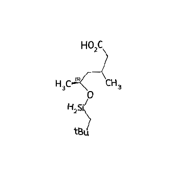 CC(CC(=O)O)C[C@H](C)O[SiH2]CC(C)(C)C